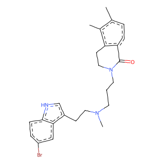 Cc1ccc2c(c1C)CCN(CCCN(C)CCc1c[nH]c3ccc(Br)cc13)C2=O